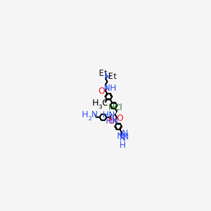 CCN(CC)CCCNC(=O)c1ccc(-c2ccc(C[C@H](NC(=O)C3CCC(CN)CC3)C(=O)Nc3ccc(-c4nn[nH]n4)cc3)cc2)c(C)c1.Cl